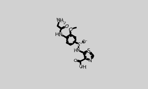 COc1cc([S+]([O-])Nc2scnc2C(=O)O)ccc1NC(=O)CN